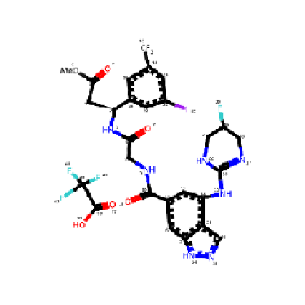 COC(=O)C[C@H](NC(=O)CNC(=O)c1cc(NC2=NCC(F)CN2)c2cn[nH]c2c1)c1cc(I)cc(C(F)(F)F)c1.O=C(O)C(F)(F)F